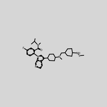 CSNC1CCC(CN(C)C2CCC(c3cn(-c4ccc(F)cc4C(=O)N(C)C(C)C)c4cnccc34)CC2)CC1